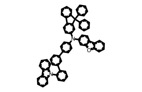 c1ccc(C2(c3ccccc3)c3ccccc3-c3ccc(N(c4ccc(-c5cccc(-c6ccccc6-n6c7ccccc7c7ccccc76)c5)cc4)c4ccc5c(c4)oc4ccccc45)cc32)cc1